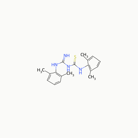 Cc1cccc(C)c1NC(=N)NC(=S)Nc1c(C)cccc1C